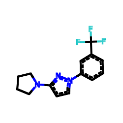 FC(F)(F)c1cccc(-n2ccc(N3CCCC3)n2)c1